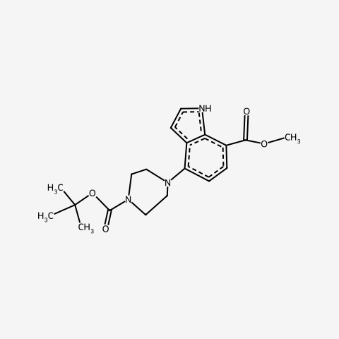 COC(=O)c1ccc(N2CCN(C(=O)OC(C)(C)C)CC2)c2cc[nH]c12